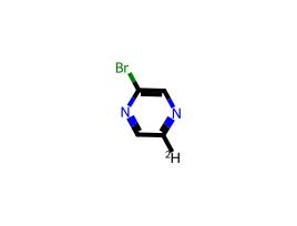 [2H]c1cnc(Br)cn1